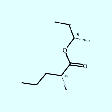 C[CH][C@H](C)OC(=O)[C@H](C)CCC